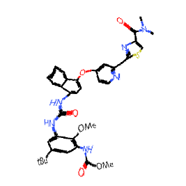 COC(=O)Nc1cc(C(C)(C)C)cc(NC(=O)Nc2ccc(Oc3ccnc(-c4nc(C(=O)N(C)C)cs4)c3)c3ccccc23)c1OC